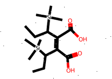 CCC(C(C(=O)O)=C(C(=O)O)C(CC)[Si](C)(C)C)[Si](C)(C)C